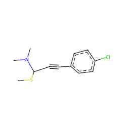 CSC(C#Cc1ccc(Cl)cc1)N(C)C